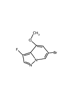 COc1cc(Br)cn2ncc(F)c12